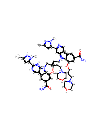 CCn1nc(C)cc1-c1cc2c(cn1)c1cc(C(N)=O)cc(OCCCN3CCOCC3)c1n2C/C=C/Cn1c2nc(-c3cc(C)nn3CC)ncc2c2cc(C(N)=O)cc(OCCCN3CCOCC3)c21